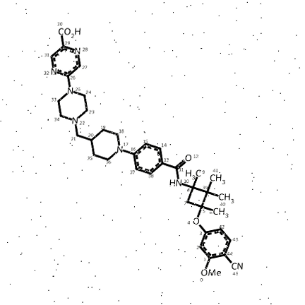 COc1cc(OC2(C)CC(C)(NC(=O)c3ccc(N4CCC(CN5CCN(c6cnc(C(=O)O)cn6)CC5)CC4)cc3)C2(C)C)ccc1C#N